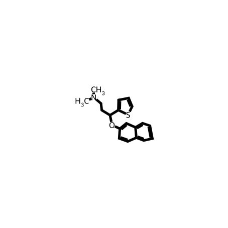 CN(C)CCC(Oc1ccc2ccccc2c1)c1cccs1